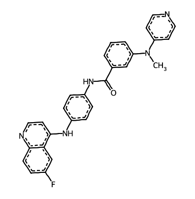 CN(c1ccncc1)c1cccc(C(=O)Nc2ccc(Nc3ccnc4ccc(F)cc34)cc2)c1